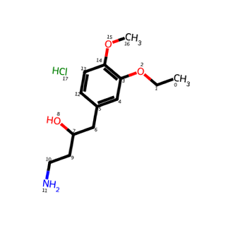 CCOc1cc(CC(O)CCN)ccc1OC.Cl